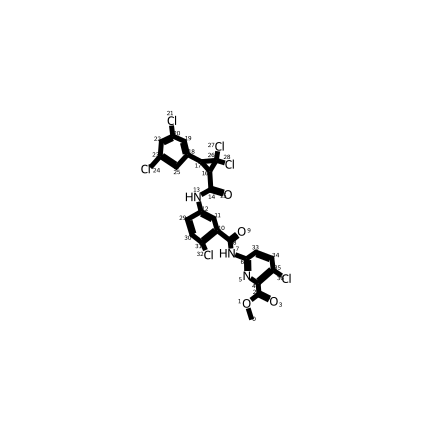 COC(=O)c1nc(NC(=O)c2cc(NC(=O)C3C(c4cc(Cl)cc(Cl)c4)C3(Cl)Cl)ccc2Cl)ccc1Cl